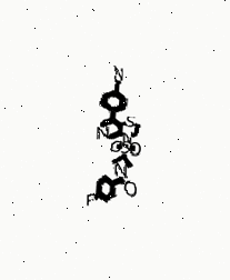 N#Cc1ccc(-c2cncc3c2SCCN3S(=O)(=O)C2CN(C(=O)c3ccc(F)cc3)C2)cc1